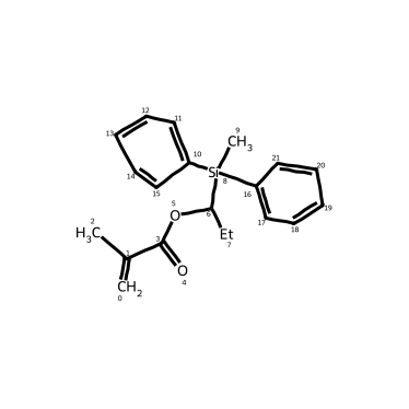 C=C(C)C(=O)OC(CC)[Si](C)(c1ccccc1)c1ccccc1